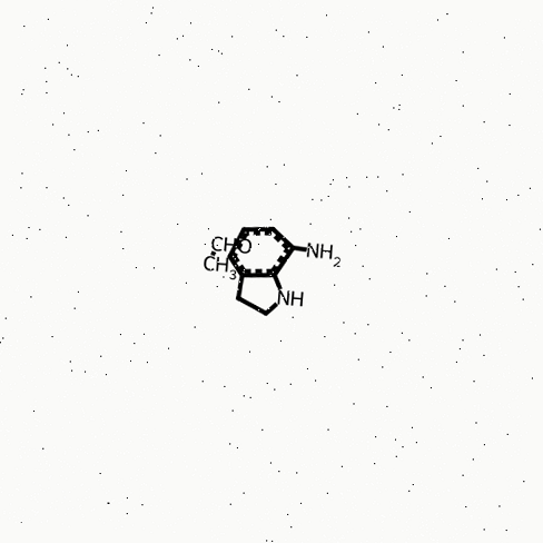 CC=O.Nc1cccc2c1NCC2